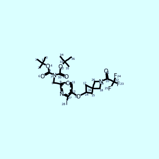 CC(C)(C)OC(=O)N(Cc1ccc(OC2CC3(C2)CN(C(=O)C(F)(F)F)C3)c(I)n1)C(=O)OC(C)(C)C